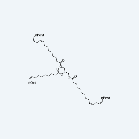 CCCCC/C=C\C/C=C\CCCCCCCCC(=O)OCC(COC(=O)CCCCCCC/C=C\C/C=C\CCCCC)OC(=O)CCCCCCC/C=C\CCCCCCCC